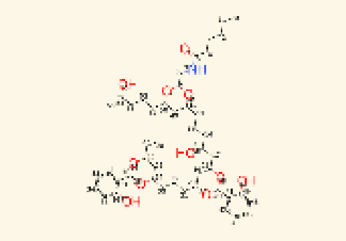 CCCCCC(=O)NCC1OC(CCCC(O)CC2CC(CCCC3CC(CC)OC(c4ccccc4O)O3)OC(c3ccccc3O)O2)CC(CCC[C@H](C)O)O1